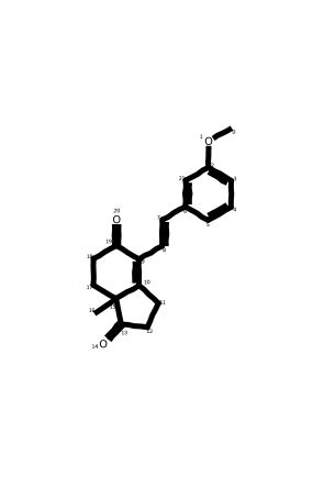 COc1cccc(C=CC2=C3CCC(=O)C3(C)CCC2=O)c1